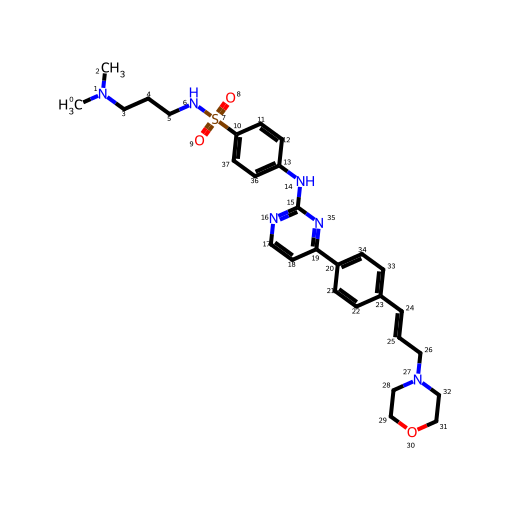 CN(C)CCCNS(=O)(=O)c1ccc(Nc2nccc(-c3ccc(C=CCN4CCOCC4)cc3)n2)cc1